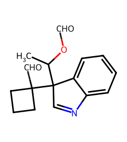 CC(OC=O)C1(C2(C=O)CCC2)C=Nc2ccccc21